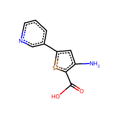 Nc1cc(-c2cccnc2)sc1C(=O)O